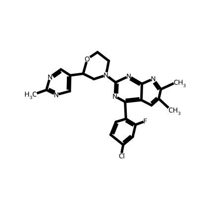 Cc1ncc(C2CN(c3nc(-c4ccc(Cl)cc4F)c4cc(C)c(C)nc4n3)CCO2)cn1